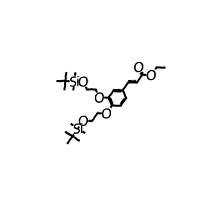 CCOC(=O)/C=C/c1ccc(OCCO[Si](C)(C)C(C)(C)C)c(OCCO[Si](C)(C)C(C)(C)C)c1